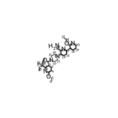 CCOc1ccc(C(=O)N2CCN(c3ccc(-c4cccnc4OCC)nc3CN)CC2)c(C(F)(F)F)n1